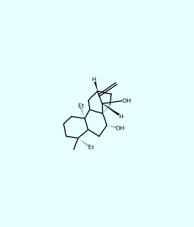 C=C1[C@H]2CC[C@]3(C(C2)[C@]2(CC)CCC[C@@](C)(CC)C2C[C@H]3O)[C@H]1O